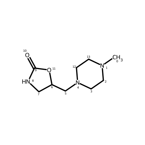 CN1CCN(CC2CNC(=O)O2)CC1